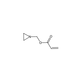 C=CC(=O)OCN1CC1